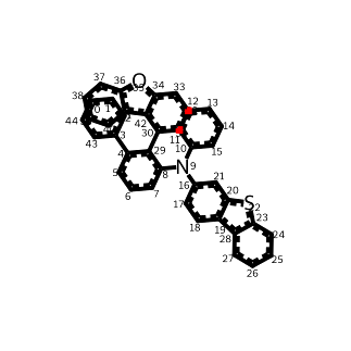 c1ccc(-c2cccc(N(c3ccccc3)c3ccc4c(c3)sc3ccccc34)c2-c2cccc3oc4ccccc4c23)cc1